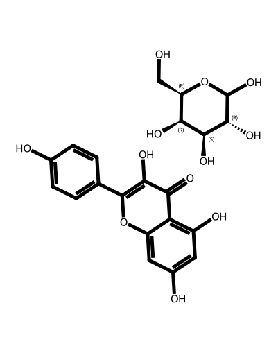 O=c1c(O)c(-c2ccc(O)cc2)oc2cc(O)cc(O)c12.OC[C@H]1OC(O)[C@H](O)[C@@H](O)[C@H]1O